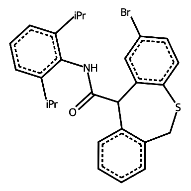 CC(C)c1cccc(C(C)C)c1NC(=O)C1c2ccccc2CSc2ccc(Br)cc21